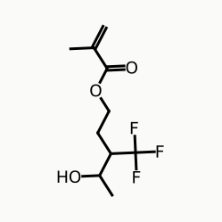 C=C(C)C(=O)OCCC(C(C)O)C(F)(F)F